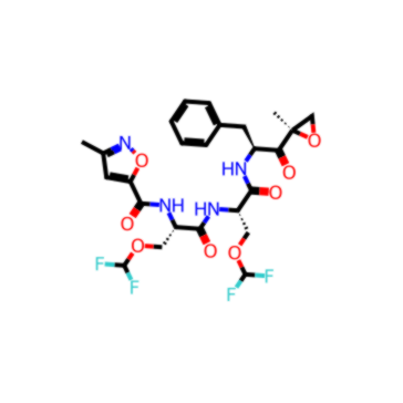 Cc1cc(C(=O)N[C@@H](COC(F)F)C(=O)N[C@@H](COC(F)F)C(=O)N[C@@H](Cc2ccccc2)C(=O)[C@@]2(C)CO2)on1